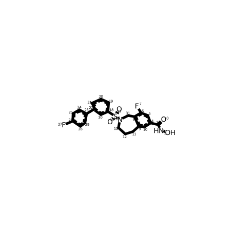 O=C(NO)c1cc(F)c2c(c1)CCCN(S(=O)(=O)c1cccc(-c3ccc(F)cc3)c1)C2